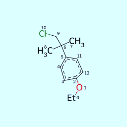 CCOc1ccc(C(C)(C)CCl)cc1